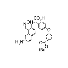 CC(C)(C)OC(=O)N1CC[C@H](Oc2ccc([C@H](Cc3ccc4ccc(N)cc4c3/C=N\O)C(=O)O)cc2)C1